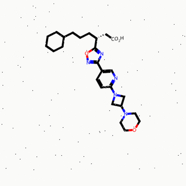 O=C(O)C[C@@H](CCCC1CCCCC1)c1nc(-c2ccc(N3CC(N4CCOCC4)C3)nc2)no1